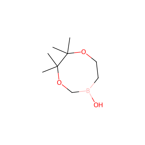 CC1(C)OCCB(O)COC1(C)C